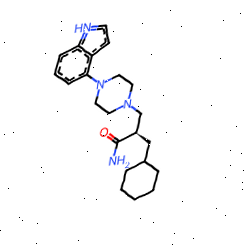 NC(=O)[C@H](CC1CCCCC1)CN1CCN(c2cccc3[nH]ccc23)CC1